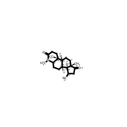 CN1C(=O)CC[C@@]2(C)C1CC[C@@H]1[C@H]2CC[C@]2(C)C(=O)CC(C#N)[C@@H]12